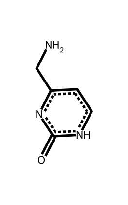 NCc1cc[nH]c(=O)n1